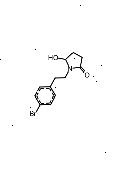 O=C1CCC(O)N1CCc1ccc(Br)cc1